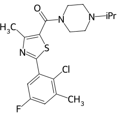 Cc1cc(F)cc(-c2nc(C)c(C(=O)N3CCN(C(C)C)CC3)s2)c1Cl